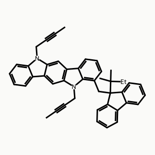 CC#CCn1c2ccccc2c2cc3c(cc21)c1cccc(CC2(C(C)(C)CC)c4ccccc4-c4ccccc42)c1n3CC#CC